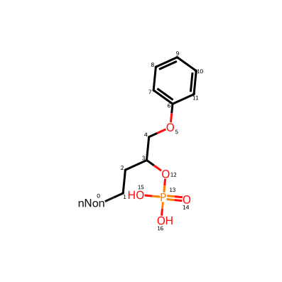 CCCCCCCCCCCC(COc1ccccc1)OP(=O)(O)O